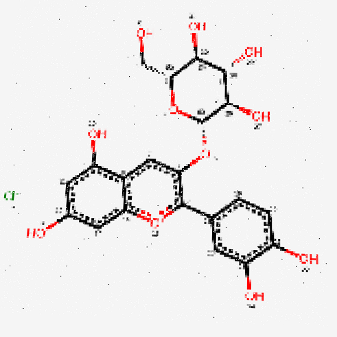 OC[C@H]1O[C@@H](Oc2cc3c(O)cc(O)cc3[o+]c2-c2ccc(O)c(O)c2)[C@H](O)[C@@H](O)[C@@H]1O.[Cl-]